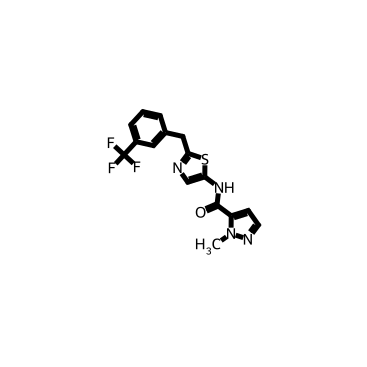 Cn1nccc1C(=O)Nc1cnc(Cc2cccc(C(F)(F)F)c2)s1